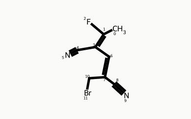 C/C(F)=C(C#N)\C=C(\C#N)CBr